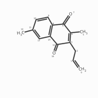 C=CCC1=C(C)C(=O)c2ccc(C)cc2C1=O